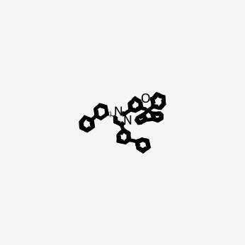 C1=C[C@H](c2cc(-c3cccc(-c4ccccc4)c3)nc(-c3ccc4c(c3)C3(c5ccccc5O4)c4ccccc4-c4ccccc43)n2)CC(c2ccccc2)=C1